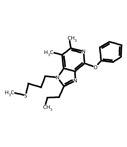 CCCc1nc2c(Oc3ccccc3)nc(C)c(C)c2n1CCCSC